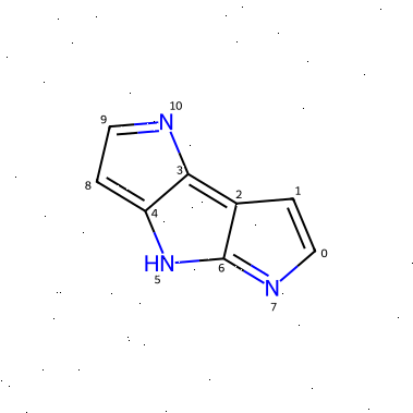 C1=Cc2c3c([nH]c2=N1)=CC=N3